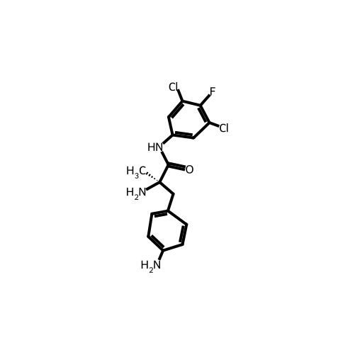 C[C@@](N)(Cc1ccc(N)cc1)C(=O)Nc1cc(Cl)c(F)c(Cl)c1